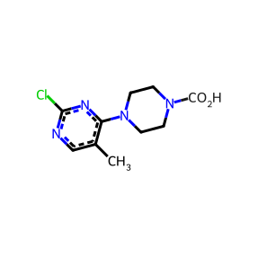 Cc1cnc(Cl)nc1N1CCN(C(=O)O)CC1